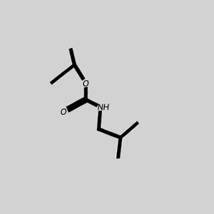 CC(C)CNC(=O)OC(C)C